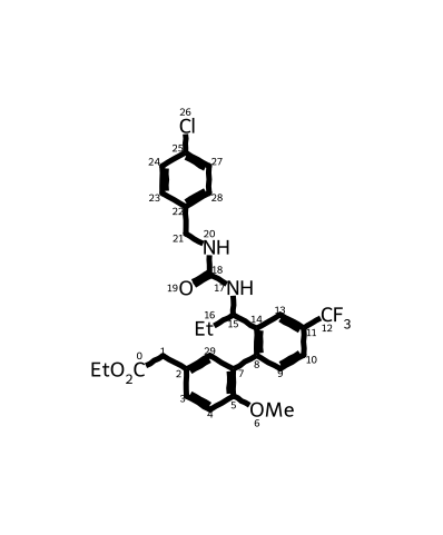 CCOC(=O)Cc1ccc(OC)c(-c2ccc(C(F)(F)F)cc2C(CC)NC(=O)NCc2ccc(Cl)cc2)c1